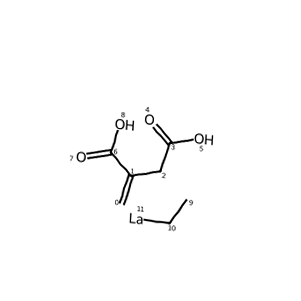 C=C(CC(=O)O)C(=O)O.C[CH2][La]